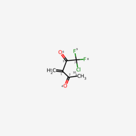 C=C(C(C)=O)C(=O)C(F)(F)Cl